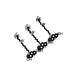 C[C@]12CC[C@@H]3c4ccc(O)cc4C[C@@H](CCCCCCCCC[S+]([O-])CCCC(F)(F)C(F)(F)F)[C@H]3[C@@H]1CC[C@@H]2O.C[C@]12CC[C@@H]3c4ccc(O)cc4C[C@@H](CCCCCCCCC[S+]([O-])CCCC(F)(F)C(F)(F)F)[C@H]3[C@@H]1CC[C@@H]2O.C[C@]12CC[C@@H]3c4ccc(O)cc4C[C@@H](CCCCCCCCC[S+]([O-])CCCC(F)(F)C(F)(F)F)[C@H]3[C@@H]1CC[C@@H]2O